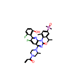 C=CC(=O)N1CCN(c2nc(=O)n(-c3c(C)cc(P(C)(C)=O)cc3C(C)C)c3nc(-c4c(O)cccc4F)c(F)cc23)C(C)C1